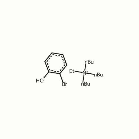 CCCC[N+](CC)(CCCC)CCCC.Oc1ccccc1Br